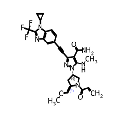 C=CC(=O)N1C[C@@H](n2nc(C#Cc3ccc4c(c3)nc(C(F)(F)F)n4C3CC3)c(C(N)=O)c2NC)C/C1=C\OC